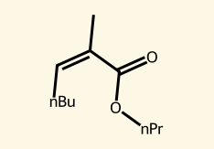 CCCCC=C(C)C(=O)OCCC